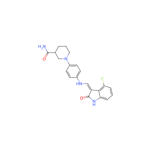 NC(=O)C1CCCN(c2ccc(NC=C3C(=O)Nc4cccc(F)c43)cc2)C1